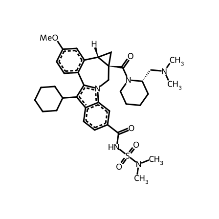 COc1ccc2c(c1)[C@@H]1C[C@]1(C(=O)N1CCCC[C@H]1CN(C)C)Cn1c-2c(C2CCCCC2)c2ccc(C(=O)NS(=O)(=O)N(C)C)cc21